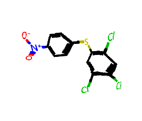 O=[N+]([O-])c1ccc(Sc2cc(Cl)c(Cl)cc2Cl)cc1